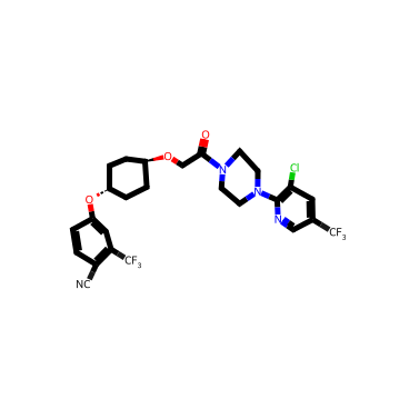 N#Cc1ccc(O[C@H]2CC[C@H](OCC(=O)N3CCN(c4ncc(C(F)(F)F)cc4Cl)CC3)CC2)cc1C(F)(F)F